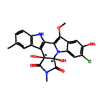 COc1c2n(c3cc(Cl)c(O)cc13)[C@]1(O)C(=O)N(C)C(=O)[C@]1(O)c1c-2[nH]c2ccc(C)cc12